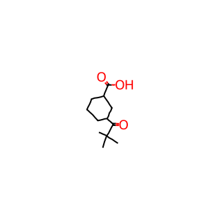 CC(C)(C)C(=O)C1CCCC(C(=O)O)C1